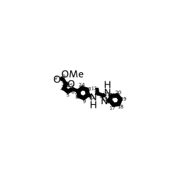 COC(=O)c1ccc(-c2ccc(NC(C)c3nc4ccccc4[nH]3)cc2)o1